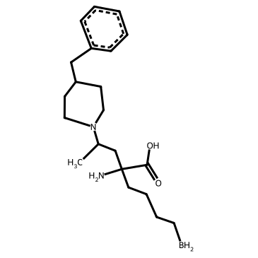 BCCCCC(N)(CC(C)N1CCC(Cc2ccccc2)CC1)C(=O)O